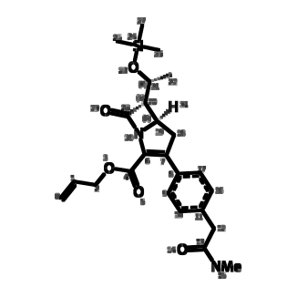 C=CCOC(=O)C1=C(c2ccc(CC(=O)NC)cc2)C[C@@H]2[C@@H]([C@@H](C)O[Si](C)(C)C)C(=O)N12